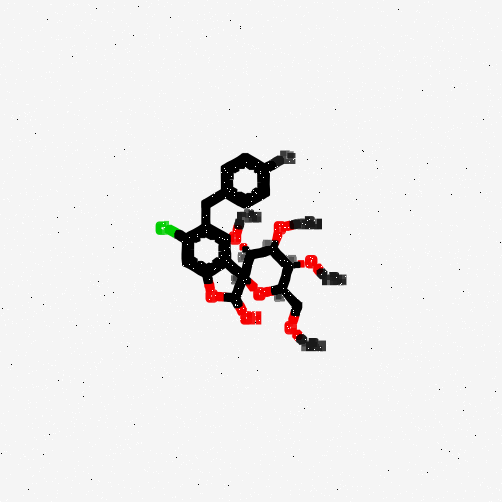 CCCCOC[C@H]1O[C@@]2(c3cc(Cc4ccc(CC)cc4)c(Cl)cc3OC2O)[C@H](OCCCC)[C@@H](OCCCC)[C@@H]1OCCCC